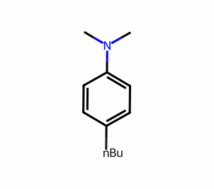 C[CH]CCc1ccc(N(C)C)cc1